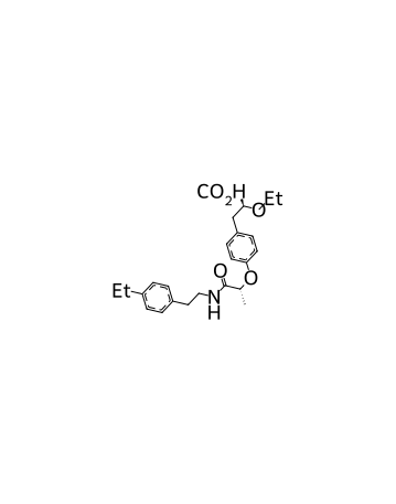 CCO[C@@H](Cc1ccc(O[C@H](C)C(=O)NCCc2ccc(CC)cc2)cc1)C(=O)O